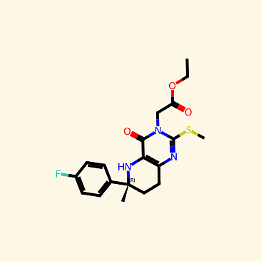 CCOC(=O)Cn1c(SC)nc2c(c1=O)N[C@@](C)(c1ccc(F)cc1)CC2